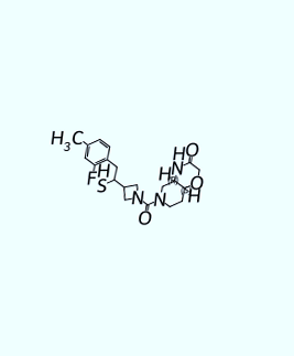 Cc1ccc(CC(S)C2CN(C(=O)N3CC[C@@H]4OCC(=O)N[C@@H]4C3)C2)c(F)c1